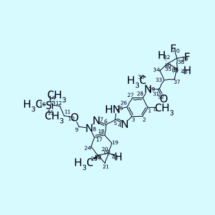 Cc1cc2nc(-c3nn(COCC[Si](C)(C)C)c4c3C[C@@H]3C[C@]3(C)C4)[nH]c2cc1N(C)C(=O)C1C[C@@H]2[C@H](C1)C2(F)F